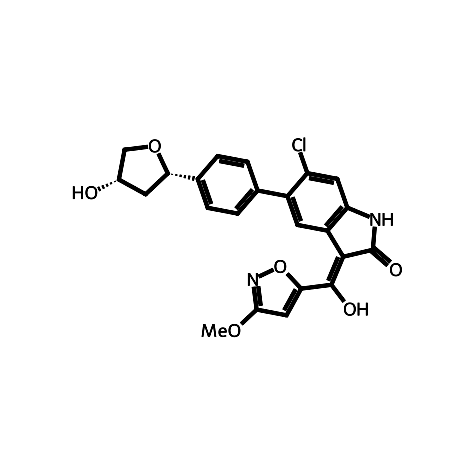 COc1cc(/C(O)=C2/C(=O)Nc3cc(Cl)c(-c4ccc([C@@H]5C[C@H](O)CO5)cc4)cc32)on1